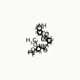 CCOc1cc(C(=O)NCc2cccc(C(=O)N(C)c3ccc4c(c3)CNCC4)c2)ccc1OC(F)F